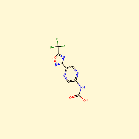 O=C(O)Nc1cnc(-c2noc(C(F)(F)F)n2)cn1